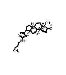 CCCCNc1nc([C@H]2CC[C@H]3C4CC[C@H]5N(C)C(=O)C=C[C@]5(C)C4CC[C@]23C)cs1